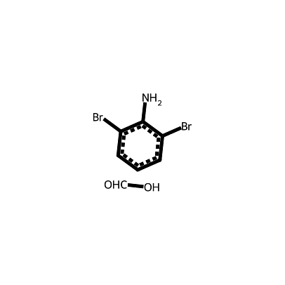 Nc1c(Br)cccc1Br.O=CO